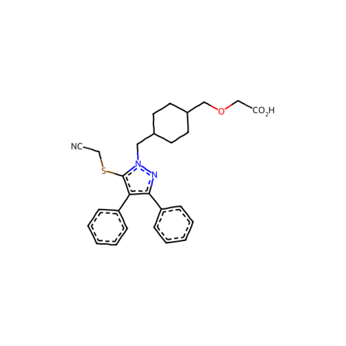 N#CCSc1c(-c2ccccc2)c(-c2ccccc2)nn1CC1CCC(COCC(=O)O)CC1